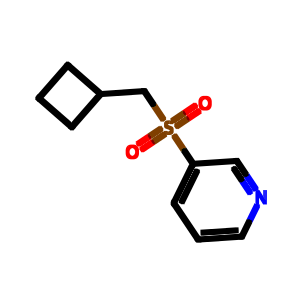 O=S(=O)(CC1CCC1)c1cccnc1